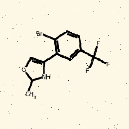 CC1NC(c2cc(C(F)(F)F)ccc2Br)=CO1